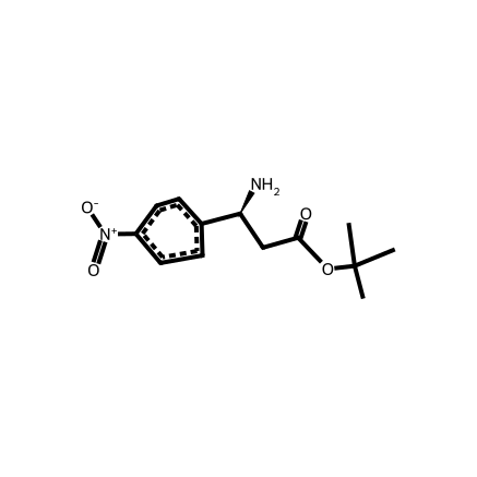 CC(C)(C)OC(=O)C[C@H](N)c1ccc([N+](=O)[O-])cc1